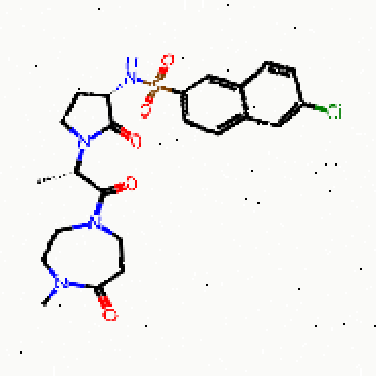 C[C@@H](C(=O)N1CCC(=O)N(C)CC1)N1CC[C@H](NS(=O)(=O)c2ccc3cc(Cl)ccc3c2)C1=O